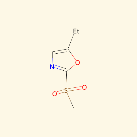 CCc1cnc(S(C)(=O)=O)o1